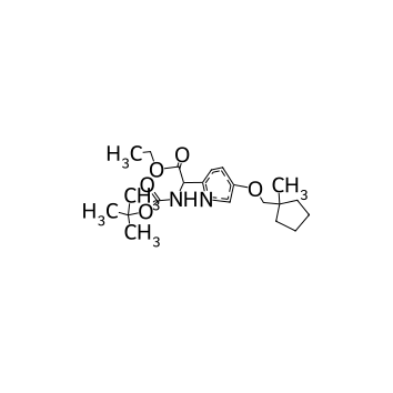 CCOC(=O)C(NC(=O)OC(C)(C)C)c1ccc(OCC2(C)CCCC2)cn1